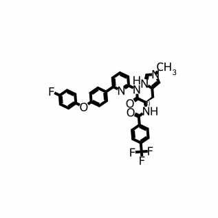 Cn1cnc(C[C@@H](NC(=O)c2ccc(C(F)(F)F)cc2)C(=O)Nc2cccc(-c3ccc(Oc4ccc(F)cc4)cc3)n2)c1